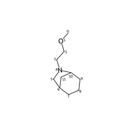 COCCN1CC2CCCC1C2